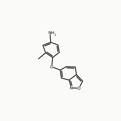 Cc1cc(N)ccc1Oc1ccc2conc2c1